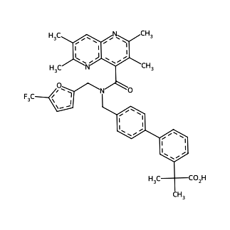 Cc1cc2nc(C)c(C)c(C(=O)N(Cc3ccc(-c4cccc(C(C)(C)C(=O)O)c4)cc3)Cc3ccc(C(F)(F)F)o3)c2nc1C